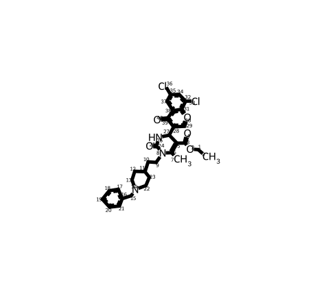 CCOC(=O)C1=C(C)N(CCC2CCN(Cc3ccccc3)CC2)C(=O)NC1c1coc2c(Cl)cc(Cl)cc2c1=O